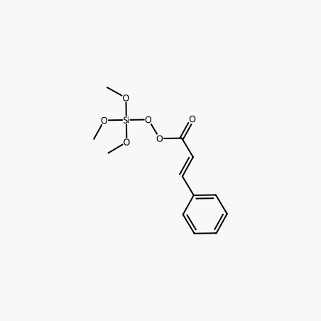 CO[Si](OC)(OC)OOC(=O)C=Cc1ccccc1